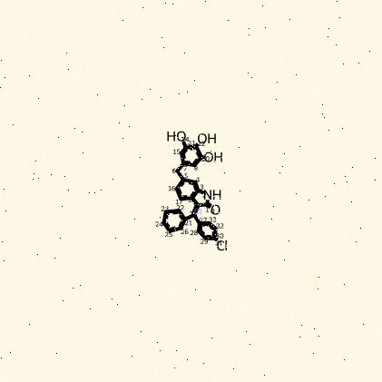 O=C1Nc2cc(Cc3cc(O)c(O)c(O)c3)ccc2/C1=C(\c1ccccc1)c1ccc(Cl)cc1